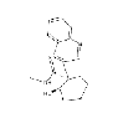 CNC(=S)[C@]1(c2cnc3ccccc3c2)CCCC[C@H]1O